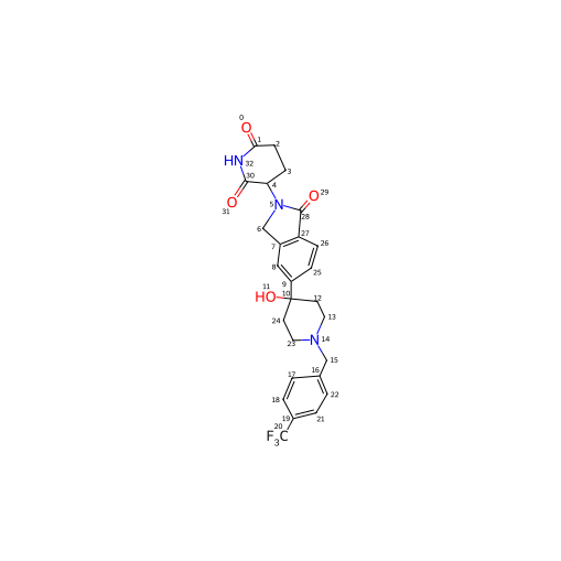 O=C1CCC(N2Cc3cc(C4(O)CCN(Cc5ccc(C(F)(F)F)cc5)CC4)ccc3C2=O)C(=O)N1